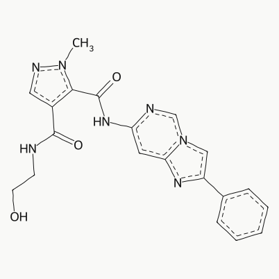 Cn1ncc(C(=O)NCCO)c1C(=O)Nc1cc2nc(-c3ccccc3)cn2cn1